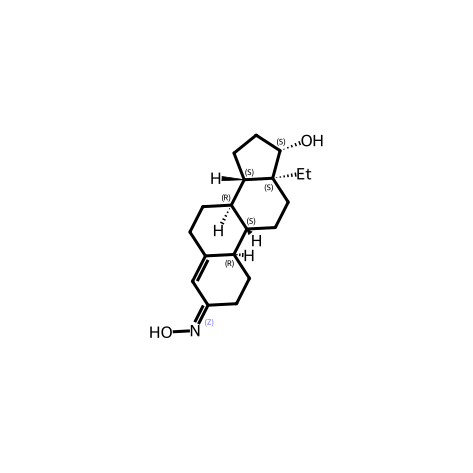 CC[C@]12CC[C@H]3[C@@H](CCC4=C/C(=N\O)CC[C@@H]43)[C@@H]1CC[C@@H]2O